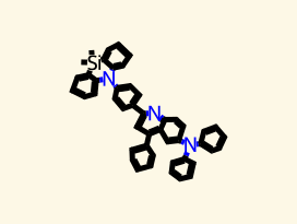 C[Si]1(C)c2ccccc2N(c2ccc(-c3cc(-c4ccccc4)c4cc(N(c5ccccc5)c5ccccc5)ccc4n3)cc2)c2ccccc21